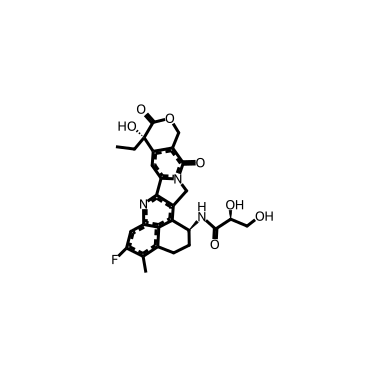 CC[C@@]1(O)C(=O)OCc2c1cc1n(c2=O)Cc2c-1nc1cc(F)c(C)c3c1c2[C@@H](NC(=O)[C@@H](O)CO)CC3